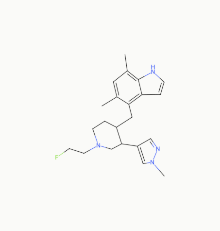 Cc1cc(C)c2[nH]ccc2c1CC1CCN(CCF)CC1c1cnn(C)c1